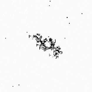 C[C@@H]1O[P@@](=O)(S)O[C@H]2[C@@H](F)[C@H](n3cnc4c(=O)[nH]c(N)nc43)O[C@@H]2CO[P@@](=O)(S)O[C@H]2[C@@H](O)[C@H](n3cnc4c(N)ncnc43)O[C@@H]21